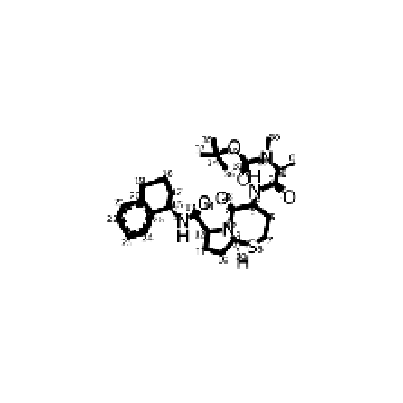 C[C@@H](C(=O)N[C@H]1CCS[C@H]2CCC(C(=O)N[C@@H]3CCCc4ccccc43)N2C1=O)N(C)C(=O)OC(C)(C)C